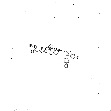 COC(O[Si](C)(C)C)(C(CCCCCC(=O)OC(C)(C)C)Oc1ccc(CCCN(C)C(C)(c2ccc(Cl)cc2)c2ccc(Cl)cc2)cc1)C(F)(F)F